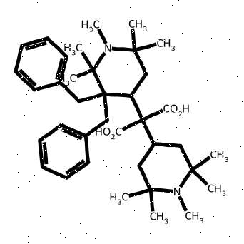 CN1C(C)(C)CC(C(C(=O)O)(C(=O)O)C2CC(C)(C)N(C)C(C)(C)C2(Cc2ccccc2)Cc2ccccc2)CC1(C)C